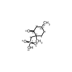 C[C@H]1CCC(C)(CS(=O)(=O)O)C(=O)C1